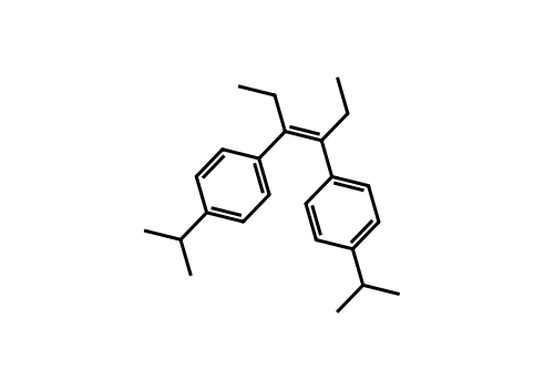 CCC(=C(CC)c1ccc(C(C)C)cc1)c1ccc(C(C)C)cc1